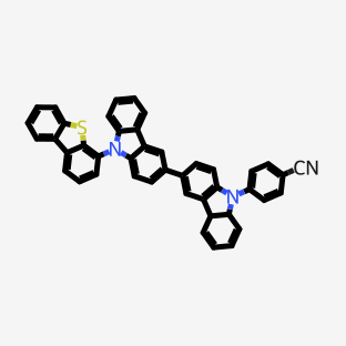 N#Cc1ccc(N2c3ccc(-c4ccc5c(c4)c4ccccc4n5-c4cccc5c4sc4ccccc45)cc3C3C=CC=CC32)cc1